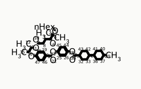 CCCCCCOC(C)(C)C(=O)CCC(=O)OC(C)C(C)Oc1ccc(C(=O)Oc2ccc(OC(=O)C3CCC(C4CCC(C)CC4)CC3)cc2)cc1